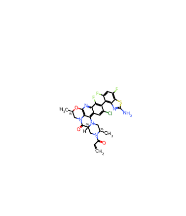 C=CC(=O)N1C[C@@H]2C(=O)N3C[C@@H](C)Oc4nc5c(F)c(-c6c(F)cc(F)c7sc(N)nc67)c(Cl)cc5c(c43)N2C[C@H]1C